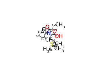 CCCC(=O)N(c1c(C)cccc1C)C(CCSC(C)(C)C)C(=O)O